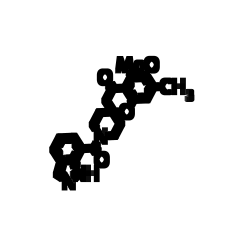 COc1cc(C)cc2c1C(=O)CC1(CCN(C(=O)c3cccc4cn[nH]c34)CC1)O2